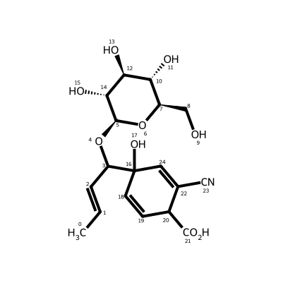 C/C=C/C(O[C@@H]1O[C@H](CO)[C@@H](O)[C@H](O)[C@H]1O)C1(O)C=CC(C(=O)O)C(C#N)=C1